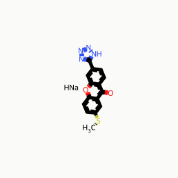 CSc1ccc2oc3cc(-c4nnn[nH]4)ccc3c(=O)c2c1.[NaH]